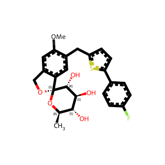 COc1cc2c(cc1Cc1ccc(-c3ccc(F)cc3)s1)[C@]1(OC2)O[C@H](C)[C@@H](O)[C@H](O)[C@H]1O